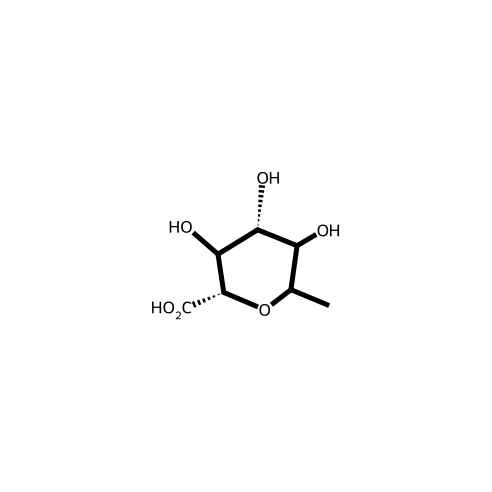 CC1O[C@H](C(=O)O)C(O)[C@H](O)C1O